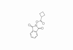 O=C(ON1C(=O)c2ccccc2C1=O)C1CCC1